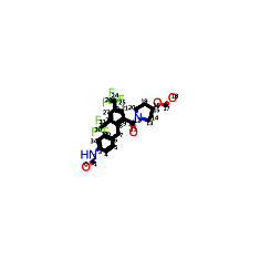 O=CNc1ccc(Cc2c(C(=O)N3CCC(OC=O)CC3)cc(C(F)(F)F)cc2C(F)(F)F)cc1